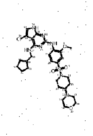 COc1cc(S(=O)(=O)N2CCC(N3CCOCC3)CC2)ccc1Nc1nc(NCC2CCCC2)c2c(Cl)c[nH]c2n1